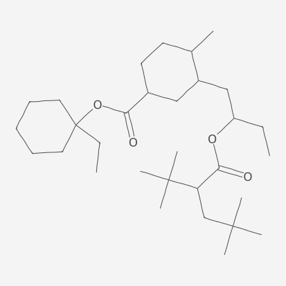 CCC(CC1CC(C(=O)OC2(CC)CCCCC2)CCC1C)OC(=O)C(CC(C)(C)C)C(C)(C)C